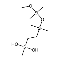 CO[Si](C)(C)O[Si](C)(C)CC[Si](C)(O)O